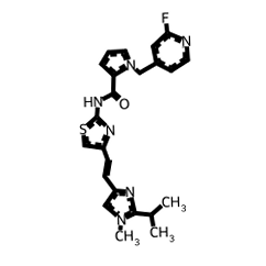 CC(C)c1nc(/C=C/c2csc(NC(=O)c3cccn3Cc3ccnc(F)c3)n2)cn1C